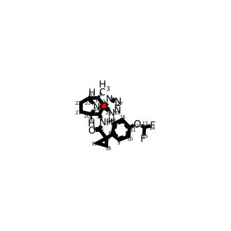 C[C@H]1CC(NC(=O)C2(c3ccc(OC(F)F)cc3)CC2)[C@@H]2CC[C@H]1N2c1nnn[nH]1